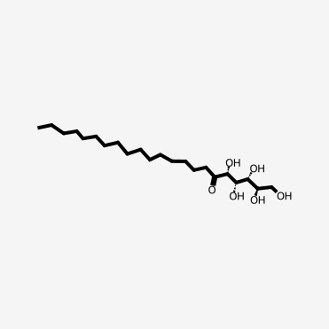 CCCCCCCCCCCCCCCCC(=O)[C@H](O)[C@@H](O)[C@H](O)[C@H](O)CO